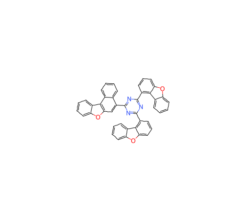 c1ccc2c(c1)oc1cccc(-c3nc(-c4cc5oc6ccccc6c5c5ccccc45)nc(-c4cccc5oc6ccccc6c45)n3)c12